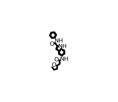 O=C(CC1CCCO1)Nc1ccc2[nH]c(C(=O)Nc3ccccc3)cc2c1